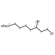 CCCCCCCCCC(Br)CC[O]